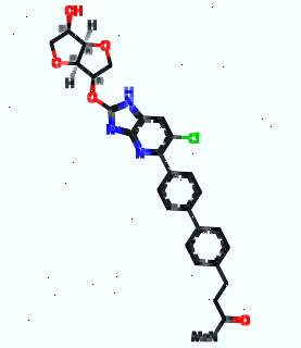 CNC(=O)CCc1ccc(-c2ccc(-c3nc4nc(O[C@@H]5CO[C@H]6[C@@H]5OC[C@H]6O)[nH]c4cc3Cl)cc2)cc1